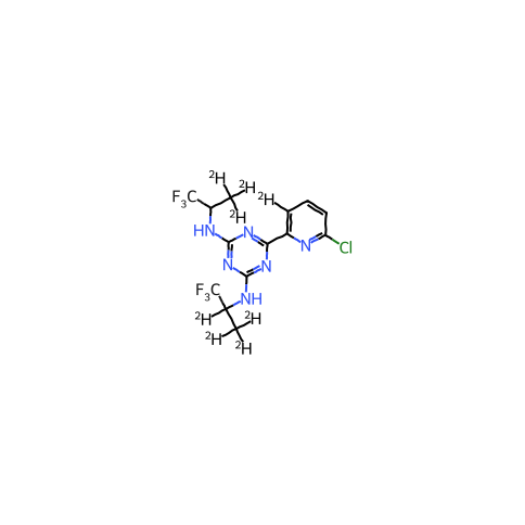 [2H]c1ccc(Cl)nc1-c1nc(NC(C([2H])([2H])[2H])C(F)(F)F)nc(NC([2H])(C([2H])([2H])[2H])C(F)(F)F)n1